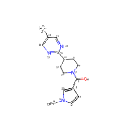 CCCn1ccc(C(=O)N2CCC(c3ncc(C(F)(F)F)cn3)CC2)c1